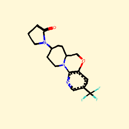 O=C1CCCN1C1CCN2c3ncc(C(F)(F)F)cc3OCC2C1